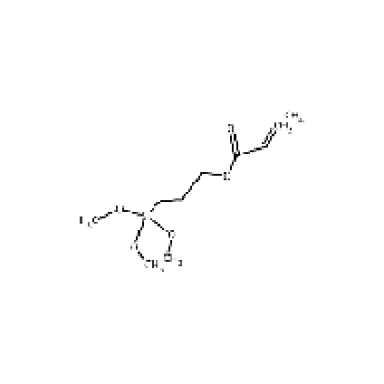 C.C=CC(=O)OCCC[Si](OC)(OC)OC